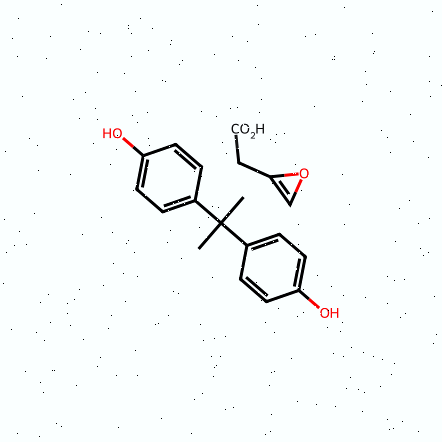 CC(C)(c1ccc(O)cc1)c1ccc(O)cc1.O=C(O)CC1=CO1